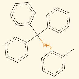 Cc1ccccc1.PC(c1ccccc1)(c1ccccc1)c1ccccc1